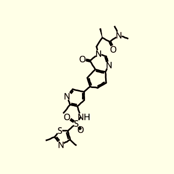 Cc1nc(C)c(S(=O)(=O)Nc2cc(-c3ccc4ncn(C[C@@H](C)C(=O)N(C)C)c(=O)c4c3)cnc2C)s1